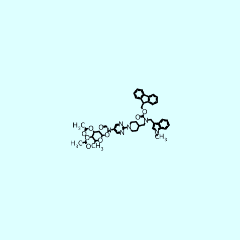 CC(=O)OC1CC(ON(C=O)c2cnc(N3CCC(CN(Cc4cn(C)c5ccccc45)C(=O)OCC4c5ccccc5-c5ccccc54)CC3)nc2)OC(C)C1OC(C)=O